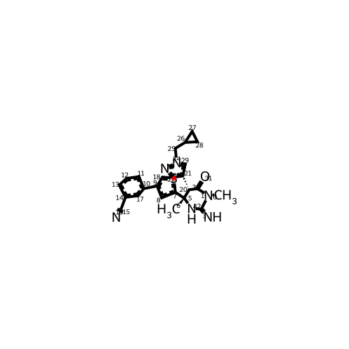 CN1C(=N)N[C@](C)(c2cc(-c3cccc(C#N)c3)cs2)[C@H](c2cnn(CC3CC3)c2)C1=O